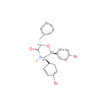 CN1C(=O)[C@H](Cc2ccccc2)O[C@@H](c2ccc(Br)cc2)[C@H]1C1C=CC(Br)=CC1